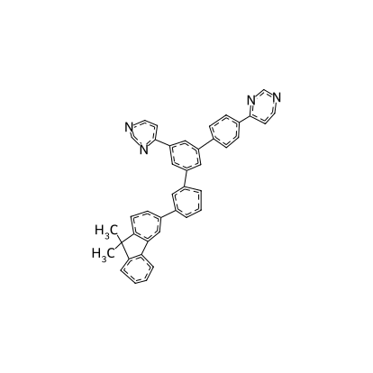 CC1(C)c2ccccc2-c2cc(-c3cccc(-c4cc(-c5ccc(-c6ccncn6)cc5)cc(-c5ccncn5)c4)c3)ccc21